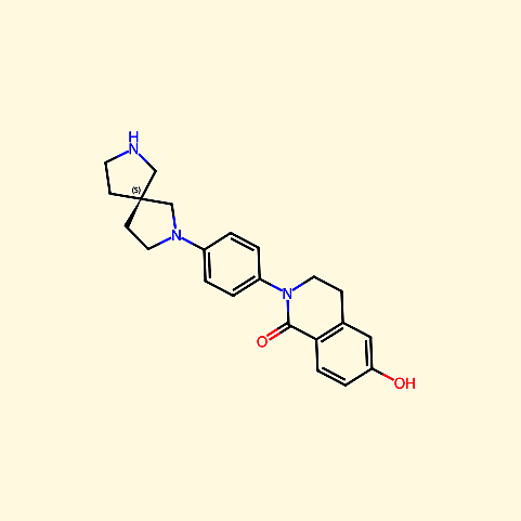 O=C1c2ccc(O)cc2CCN1c1ccc(N2CC[C@]3(CCNC3)C2)cc1